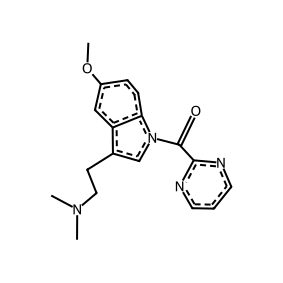 COc1ccc2c(c1)c(CCN(C)C)cn2C(=O)c1ncccn1